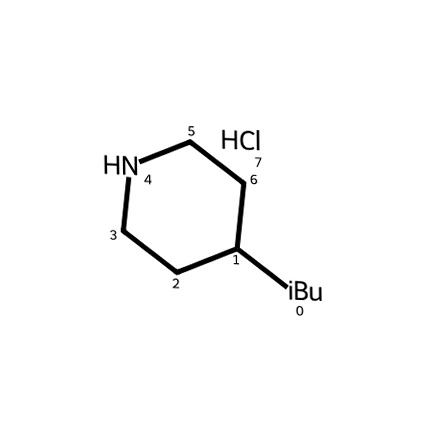 CCC(C)C1CCNCC1.Cl